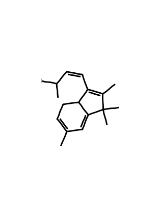 CC1=CCC2C(=C1)C(C)(C)C(C)=C2/C=C\C(C)I